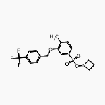 Cc1ccc(S(=O)(=O)ON2CCC2)cc1OCc1ccc(C(F)(F)F)cc1